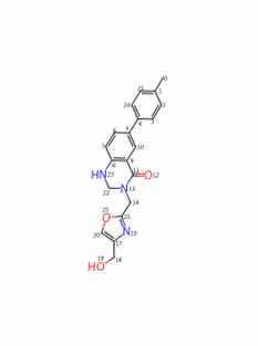 Cc1ccc(-c2ccc3c(c2)C(=O)N(Cc2nc(CO)co2)CN3)cc1